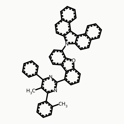 Cc1ccccc1-c1nc(-c2cccc3oc4c(-n5c6ccc7ccccc7c6c6c7ccccc7ccc65)cccc4c23)nc(-c2ccccc2)c1C